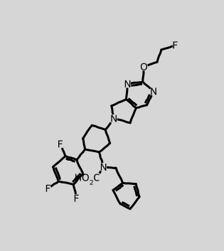 O=C(O)N(Cc1ccccc1)C1CC(N2Cc3cnc(OCCF)nc3C2)CCC1c1cc(F)c(F)cc1F